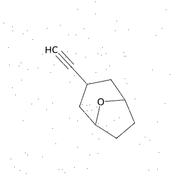 C#CC1CC2CCC(C1)O2